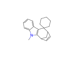 Cn1c2c(c3ccccc31)C1(CCCCC1)C1C=CC2C1